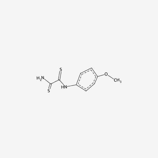 COc1ccc(NC(=S)C(N)=S)cc1